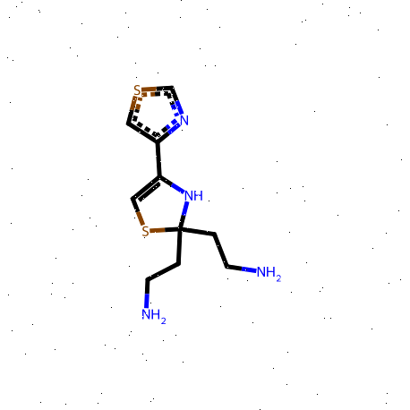 NCCC1(CCN)NC(c2cscn2)=CS1